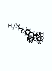 CCCCOc1ccc(CC(=C(O)C2(C)COCOC2)n2cncn2)cc1